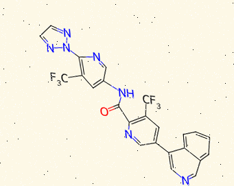 O=C(Nc1cnc(-n2nccn2)c(C(F)(F)F)c1)c1ncc(-c2cncc3ccccc23)cc1C(F)(F)F